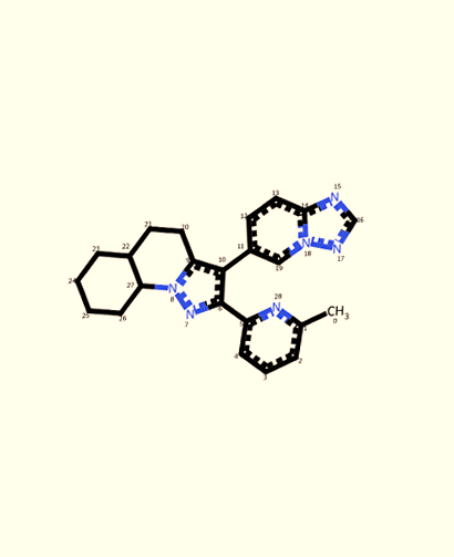 Cc1cccc(-c2nn3c(c2-c2ccc4ncnn4c2)CCC2CCCCC23)n1